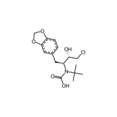 CC(C)(C)N(C(=O)O)[C@@H](Cc1ccc2c(c1)OCO2)[C@H](O)CCl